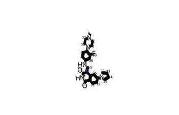 CN1CCN(c2ccc(N/C=C3\C(=O)NC(=O)c4ccc(-n5cccc5)cc43)cc2F)CC1